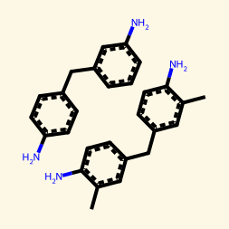 Cc1cc(Cc2ccc(N)c(C)c2)ccc1N.Nc1ccc(Cc2cccc(N)c2)cc1